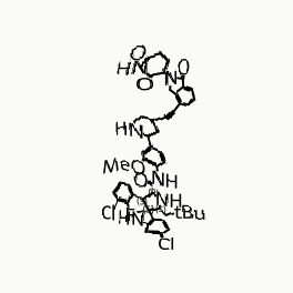 COc1cc(C2CC(C#Cc3cccc4c3CN(C3CCC(=O)NC3=O)C4=O)CCN2)ccc1NC(=O)[C@@H]1N[C@@H](CC(C)(C)C)[C@@]2(CNc3cc(Cl)ccc32)[C@H]1c1cccc(Cl)c1F